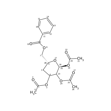 CC(=O)OC1C[C@H](COC(=O)c2ccccc2)O[C@@H](OC(C)=O)C1OC(C)=O